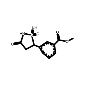 COC(=O)c1cccc(C2CC(=O)NS2(=N)=O)c1